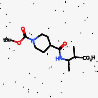 CC(NC(=O)C1CCN(C(=O)OC(C)(C)C)CC1)C(C)C(=O)O